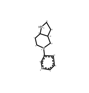 c1cncc(N2CCC3NCCC3C2)c1